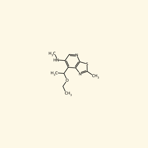 CCOC(C)c1c(NC)cnc2sc(C)nc12